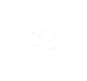 Fc1ccccc1.N#CCC=O